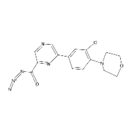 [N-]=[N+]=NC(=O)c1cncc(-c2ccc(N3CCOCC3)c(Cl)c2)n1